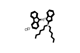 CCCCCCP(CCCCCC)C1=Cc2ccccc2[CH]1[Hf+2][CH]1c2ccccc2-c2ccccc21.[Cl-].[Cl-]